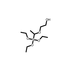 CCO[Si](OCC)(OCC)C(C)OCCO